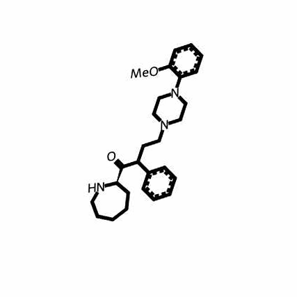 COc1ccccc1N1CCN(CCC(C(=O)[C@H]2CCCCCN2)c2ccccc2)CC1